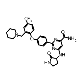 NC(=O)c1cc(N[C@H]2CCNC2=O)nc(-c2ccc(Oc3ccc(C(F)(F)F)cc3CN3CCCCC3)cc2)n1